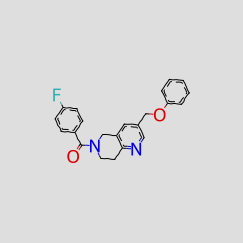 O=C(c1ccc(F)cc1)N1CCc2ncc(COc3ccccc3)cc2C1